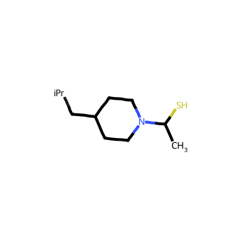 CC(C)CC1CCN(C(C)S)CC1